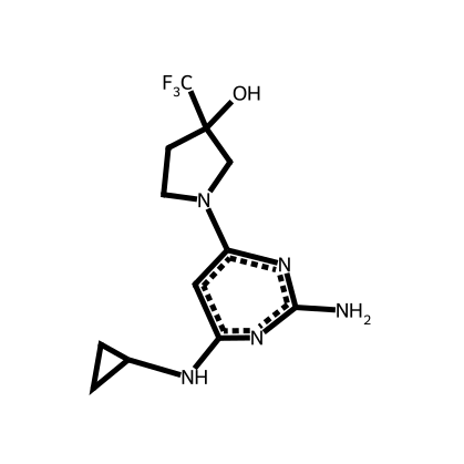 Nc1nc(NC2CC2)cc(N2CCC(O)(C(F)(F)F)C2)n1